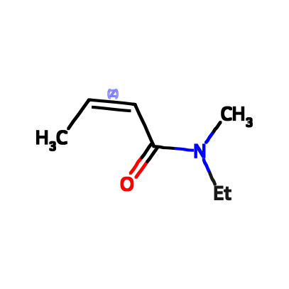 C/C=C\C(=O)N(C)CC